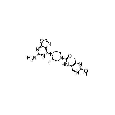 COc1ncc(NC(=O)N2CCN(c3nc(N)nc4scnc34)[C@@H](C)C2)c(C)n1